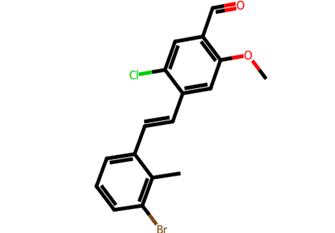 COc1cc(C=Cc2cccc(Br)c2C)c(Cl)cc1C=O